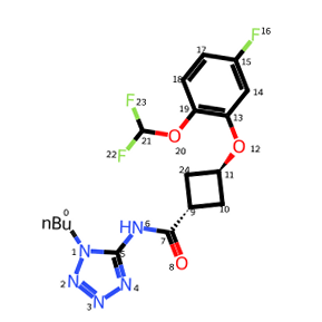 CCCCn1nnnc1NC(=O)[C@H]1C[C@H](Oc2cc(F)ccc2OC(F)F)C1